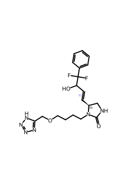 O=C1NC[C@H](/C=C/C(O)C(F)(F)c2ccccc2)N1CCCCOCc1nnn[nH]1